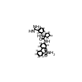 N=C(N)c1cccc(NC2(C(=O)Nc3ccc(-c4ccccc4S(N)(=O)=O)cc3)CCCC2)c1